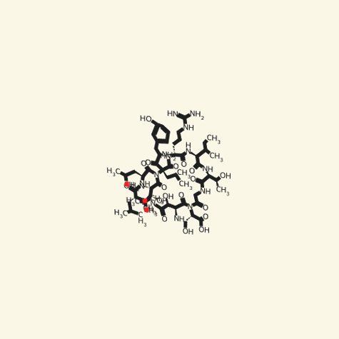 CCC(C)[C@H](NC(=O)[C@@H](CCCNC(=N)N)NC(=O)[C@@](CC(C)C)(C(=O)[C@@H](N)Cc1cccc(O)c1)N(C(=O)[C@H](CC(C)C)NC(=O)[C@@H](CC(C)C)N(C)C)C(=O)[C@@H](N)[C@H](O)C(C)C)C(=O)N[C@H](C(=O)NCC(=O)N(C(=O)[C@@H](N)[C@H](O)C(N)=O)[C@@H](CO)C(=O)O)[C@H](C)O